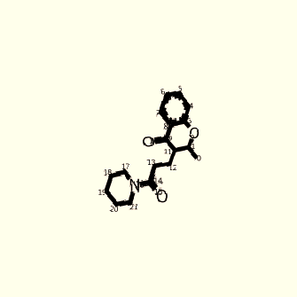 CC1Oc2ccccc2C(=O)C1CCC(=O)N1CCCCC1